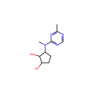 Cc1ncnc(N(C)C2CCC(O)C2O)n1